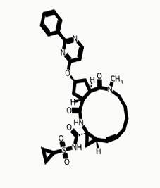 CN1CCCC/C=C\[C@@H]2C[C@@]2(C(=O)NS(=O)(=O)C2CC2)NC(=O)[C@@H]2C[C@@H](Oc3ccnc(-c4ccccc4)n3)C[C@H]2C1=O